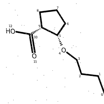 CCCCO[C@H]1CCC[C@H]1C(=O)O